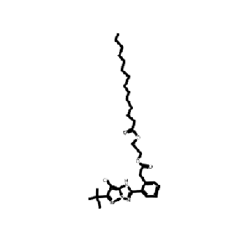 CCCCCCCCCCCCCC(=O)OCCOC(=O)Cc1ccccc1-c1nn2nc(C(C)(C)C)c(Cl)c2[nH]1